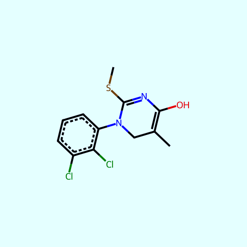 CSC1=NC(O)=C(C)CN1c1cccc(Cl)c1Cl